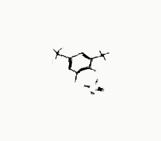 Cc1cc(C(F)(F)F)cc(C(F)(F)F)c1OS(=O)(=O)F